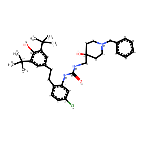 CC(C)(C)c1cc(CCc2ccc(Cl)cc2NC(=O)NCC2(O)CCN(Cc3ccccc3)CC2)cc(C(C)(C)C)c1O